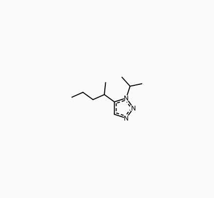 CCCC(C)c1cnnn1C(C)C